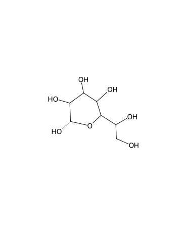 OCC(O)C1O[C@H](O)C(O)C(O)C1O